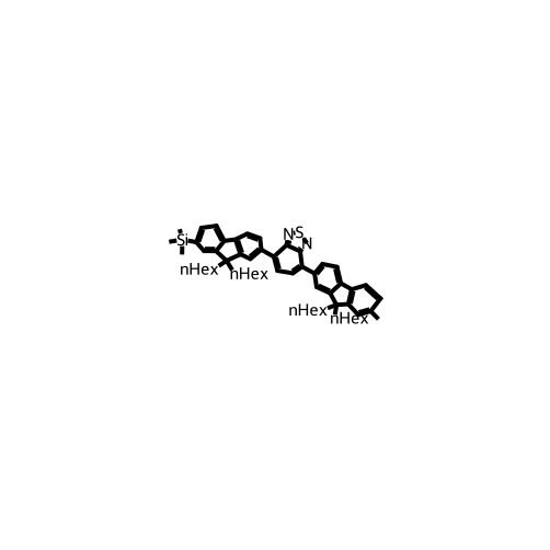 CCCCCCC1(CCCCCC)c2cc(C)ccc2-c2ccc(-c3ccc(-c4ccc5c(c4)C(CCCCCC)(CCCCCC)c4cc([Si](C)(C)C)ccc4-5)c4nsnc34)cc21